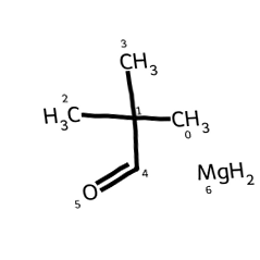 CC(C)(C)C=O.[MgH2]